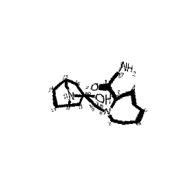 NC(=O)C1C[CH]CCN1CCN1C2CCC1CC(O)C2